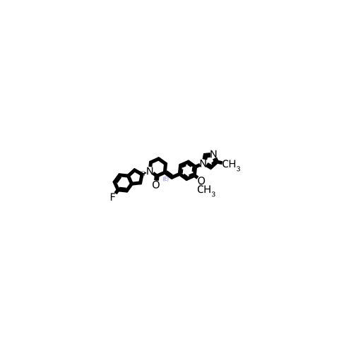 COc1cc(/C=C2\CCCN([C@H]3CC4C=CC(F)=CC4C3)C2=O)ccc1-n1cnc(C)c1